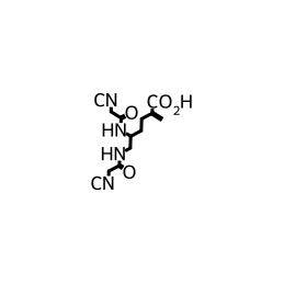 C=C(CCC(CNC(=O)CC#N)NC(=O)CC#N)C(=O)O